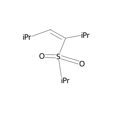 CC(C)/C=C(/C(C)C)S(=O)(=O)C(C)C